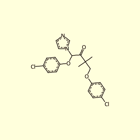 CC(C)(COc1ccc(Cl)cc1)C(=O)C(Oc1ccc(Cl)cc1)n1ccnc1